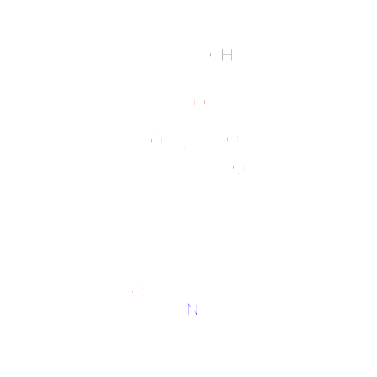 CCOC(=O)C(=O)c1cc2cc3occn4cccc(c2cc1=O)c34